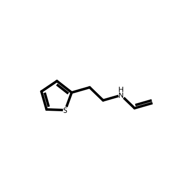 C=CNCCc1cccs1